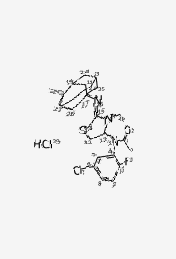 CC(=O)N(c1cc(Cl)ccc1F)C1CSC(=NC23CC4CC(CC(C4)C2)C3)N1C.Cl